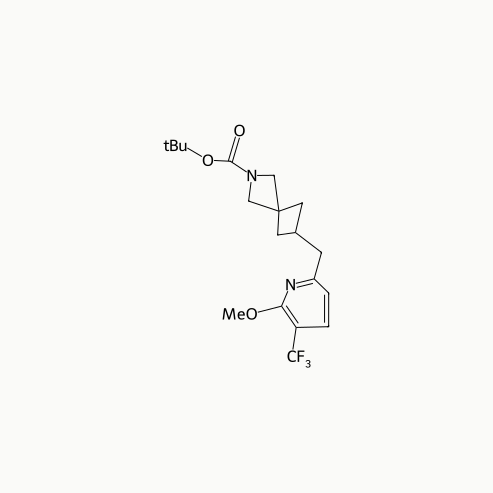 COc1nc(CC2CC3(C2)CN(C(=O)OC(C)(C)C)C3)ccc1C(F)(F)F